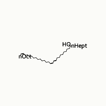 CCCCCCCC/C=C\CCCCCCCCCCCC/C=C\C=C\CCCCCCCCC(O)CCCCCCC